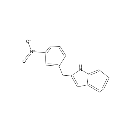 O=[N+]([O-])c1cccc(Cc2cc3ccccc3[nH]2)c1